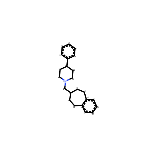 c1ccc(C2CCN(CC3CCc4ccccc4CC3)CC2)cc1